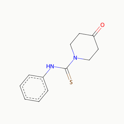 O=C1CCN(C(=S)Nc2ccccc2)CC1